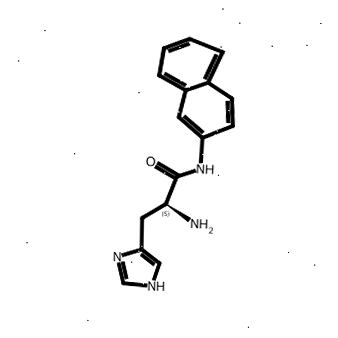 N[C@@H](Cc1c[nH]cn1)C(=O)Nc1ccc2ccccc2c1